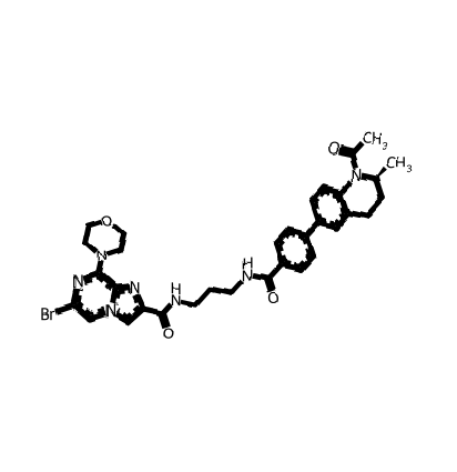 CC(=O)N1c2ccc(-c3ccc(C(=O)NCCCNC(=O)c4cn5cc(Br)nc(N6CCOCC6)c5n4)cc3)cc2CC[C@@H]1C